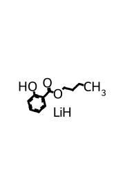 CCCCOC(=O)c1ccccc1O.[LiH]